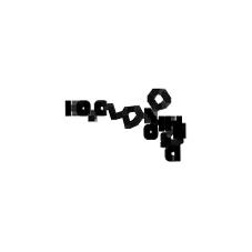 O=C(O)CCC1CCC(N(C(=O)Nc2ncc(Cl)s2)C2CCCCC2)CC1